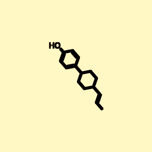 CC=CC1CCC(c2ccc(O)cc2)CC1